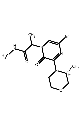 CNC(=O)C(C)n1cc(Br)nc(N2CCOC[C@H]2C)c1=O